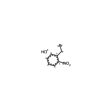 Cl.O=[N+]([O-])c1ccccc1CBr